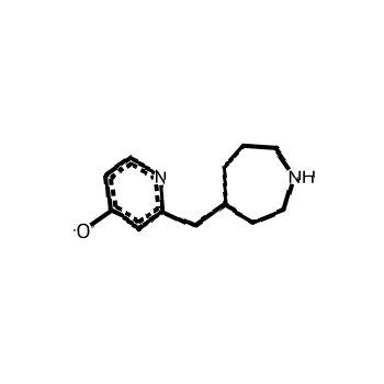 [O]c1ccnc(CC2CCCNCC2)c1